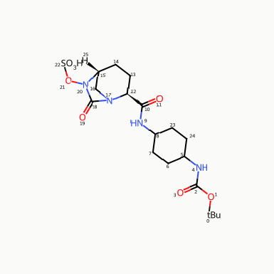 CC(C)(C)OC(=O)NC1CCC(NC(=O)[C@@H]2CC[C@@H]3CN2C(=O)N3OS(=O)(=O)O)CC1